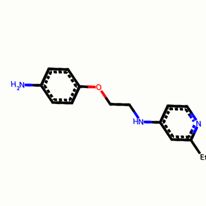 CCc1cc(NCCOc2ccc(N)cc2)ccn1